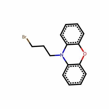 BrCCCN1c2ccccc2Oc2ccccc21